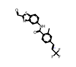 Cc1cc(/C=C/C(F)(F)F)ccc1C(=O)Nc1ccc2sc(C=O)nc2c1